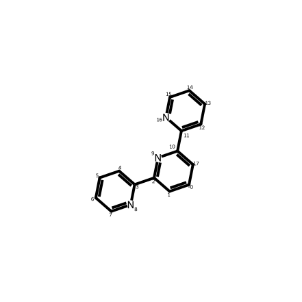 [c]1cc(-c2ccccn2)nc(-c2ccccn2)c1